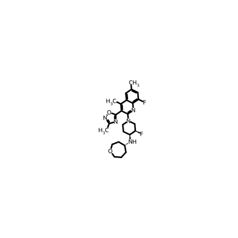 Cc1cc(F)c2nc(N3CC[C@H](N[C@@H]4CCCOCC4)[C@H](F)C3)c(-c3nc(C)no3)c(C)c2c1